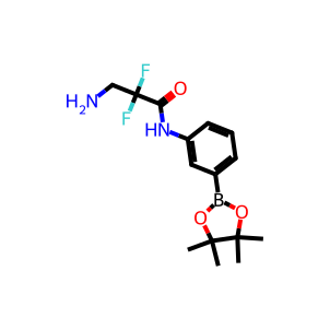 CC1(C)OB(c2cccc(NC(=O)C(F)(F)CN)c2)OC1(C)C